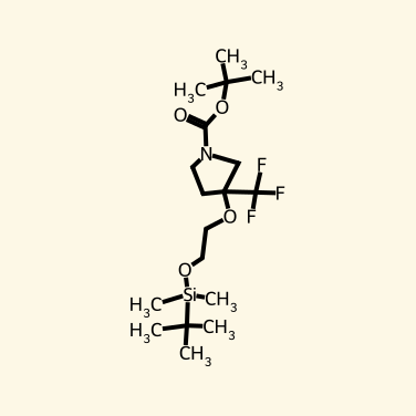 CC(C)(C)OC(=O)N1CCC(OCCO[Si](C)(C)C(C)(C)C)(C(F)(F)F)C1